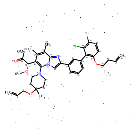 C=CCOC1(C)CCN(c2c([C@H](OC(C)(C)C)C(=O)OC)c(C)c(C)c3nc(-c4cccc(-c5c(O[C@@H](C)CC=C)ccc(F)c5F)c4)cn23)CC1